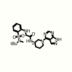 CN(C(C)(C)C)S(=O)(=O)c1ccccc1NCC(=O)N[C@@H]1CCCN(c2ncnc3[nH]ncc23)C1